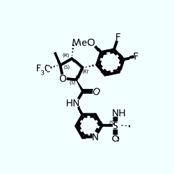 COc1c([C@@H]2[C@@H](C(=O)Nc3ccnc([S@@](C)(=N)=O)c3)O[C@](C)(C(F)(F)F)[C@@H]2C)ccc(F)c1F